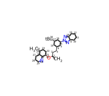 C=C(CCc1cc(-n2nc3ccccc3n2)cc(C(C)(C)C)c1)Oc1ccc(C)c2cccnc12